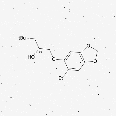 CCc1cc2c(cc1OC[C@H](O)CC(C)(C)C)OCO2